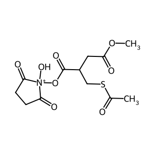 COC(=O)CC(CSC(C)=O)C(=O)O[N+]1(O)C(=O)CCC1=O